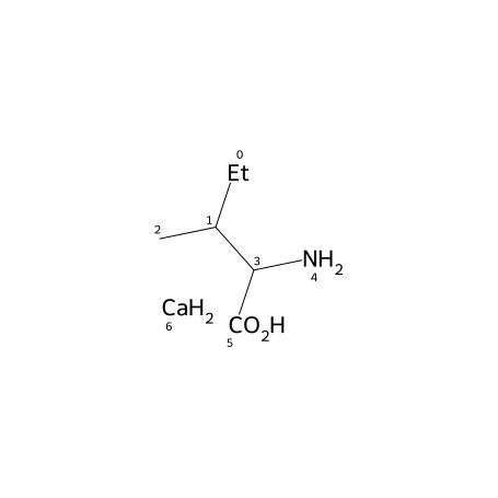 CCC(C)C(N)C(=O)O.[CaH2]